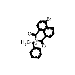 C[C@@H](c1ccccc1)N1C(=O)c2cccc3c(Br)ccc(c23)C1=O